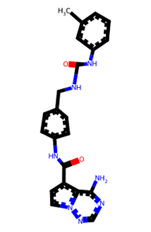 Cc1cccc(NC(=O)NCc2ccc(NC(=O)c3ccn4ncnc(N)c34)cc2)c1